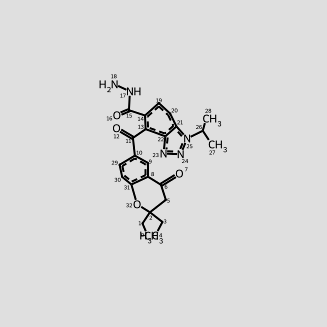 CCC1(CC)CC(=O)c2cc(C(=O)c3c(C(=O)NN)ccc4c3nnn4C(C)C)ccc2O1